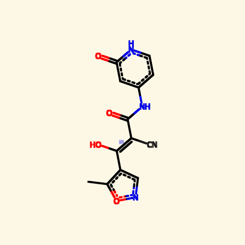 Cc1oncc1/C(O)=C(\C#N)C(=O)Nc1cc[nH]c(=O)c1